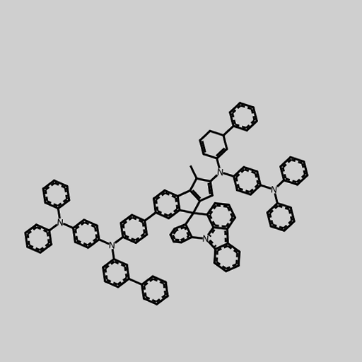 CC1C(N(C2=CC(c3ccccc3)CC=C2)c2ccc(N(c3ccccc3)c3ccccc3)cc2)=CC2=C1c1ccc(-c3ccc(N(c4ccc(N(c5ccccc5)c5ccccc5)cc4)c4cccc(-c5ccccc5)c4)cc3)cc1C21c2ccccc2-n2c3ccccc3c3cccc1c32